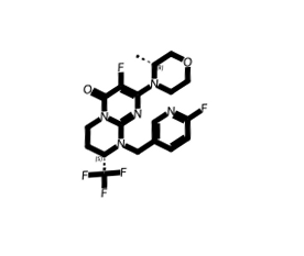 C[C@@H]1COCCN1c1nc2n(c(=O)c1F)CC[C@@H](C(F)(F)F)N2Cc1ccc(F)nc1